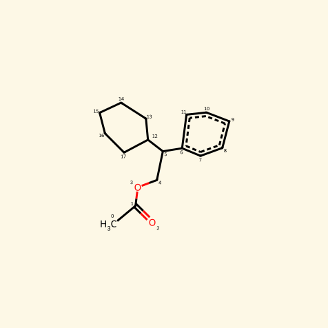 CC(=O)OCC(c1ccccc1)C1CCCCC1